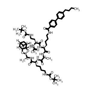 CCCCc1ccc(-c2ccc(C(=O)NCCCC[C@H](NC(=O)[C@H](CCNC(=O)OC(C)(C)C)NC(C)=O)C(=O)N[C@@H](C)C(=O)N[C@@H](CCCCNC(=O)OC(C)(C)C)C(=O)N[C@@H](C)B3OC4C[C@@H]5C[C@@H](C5(C)C)[C@]4(C)O3)cc2)cc1